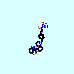 O=C(/C=C/c1ccc(CN2CCC(NC(C(=O)O)(C3CCCCC3)C3CCCC3)CC2)cc1)NO